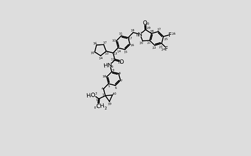 C=C(O)C1(Cc2cccc(NC(=O)C(c3ccc(CN4Cc5cc(F)c(F)cc5C4=O)cc3)C3CCCC3)c2)CC1